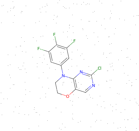 Fc1cc(N2CCOc3cnc(Cl)nc32)cc(F)c1F